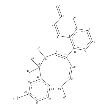 C=C/C=C\c1c(C)cccc1C1=C/C(C)C(C)(C)c2cc(I)ccc2C(C)/C=C\1